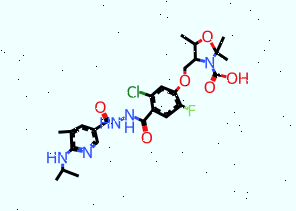 Cc1cc(C(=O)NNC(=O)c2cc(F)c(OCC3C(C)OC(C)(C)N3C(=O)O)cc2Cl)cnc1NC(C)C